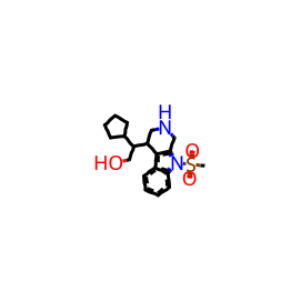 CS(=O)(=O)n1c2c(c3ccccc31)C(C(CO)C1CCCC1)CNC2